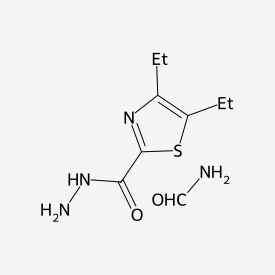 CCc1nc(C(=O)NN)sc1CC.NC=O